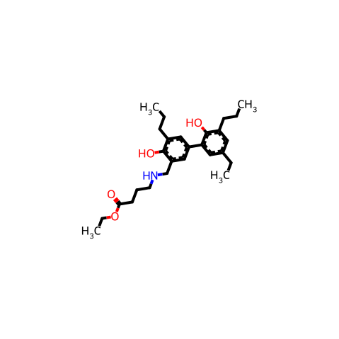 CCCc1cc(-c2cc(CC)cc(CCC)c2O)cc(CNCCCC(=O)OCC)c1O